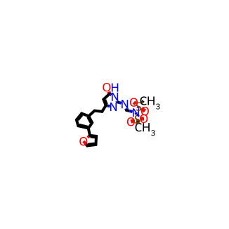 CS(=O)(=O)N(C=Nc1nc(CCc2cccc(-c3ccco3)c2)cc(=O)[nH]1)S(C)(=O)=O